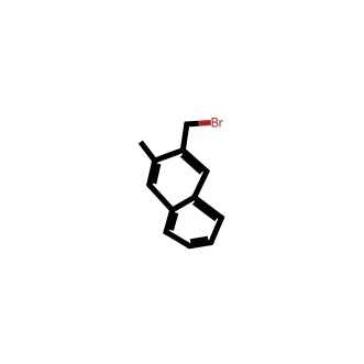 Cc1cc2ccccc2cc1CBr